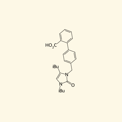 CCC(C)c1cn(C(C)CC)c(=O)n1Cc1ccc(-c2ccccc2C(=O)O)cc1